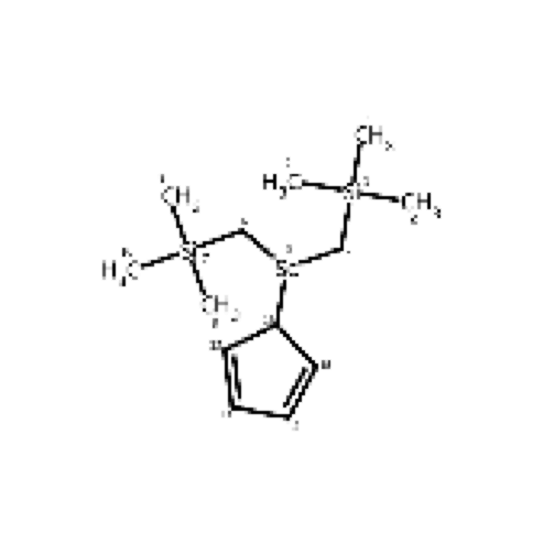 C[Si](C)(C)[CH2][Sc]([CH2][Si](C)(C)C)[CH]1C=CC=C1